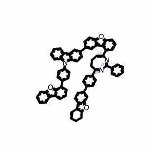 C1=Cc2c(oc3cc(-c4ccc(/C5=N/C(c6ccccc6)=N\C(c6cccc7oc8ccc(-c9ccc%10c(c9)c9ccccc9n%10-c9ccc(-c%10cccc%11c%10oc%10ccccc%10%11)cc9)cc8c67)=C/CC5)cc4)ccc23)CC1